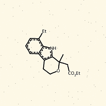 CCOC(=O)CC1(C)OCCc2c1[nH]c1c(CC)cccc21